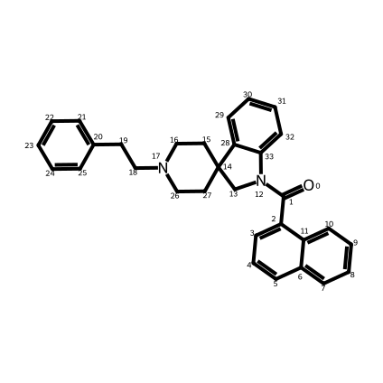 O=C(c1cccc2ccccc12)N1CC2(CCN(CCc3ccccc3)CC2)c2ccccc21